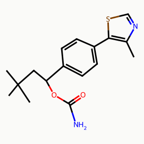 Cc1ncsc1-c1ccc(C(CC(C)(C)C)OC(N)=O)cc1